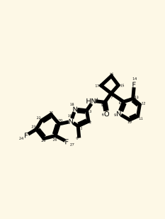 Cc1cc(NC(=O)C2(c3ncccc3F)CCC2)nn1-c1ccc(F)cc1F